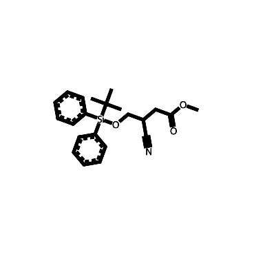 COC(=O)CC(C#N)CO[Si](c1ccccc1)(c1ccccc1)C(C)(C)C